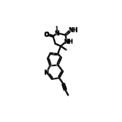 CC#Cc1cnc2ccc(C3(C)CC(=O)N(C)C(=N)N3)cc2c1